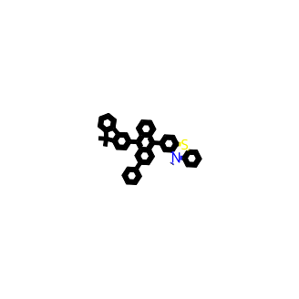 CN1c2ccccc2Sc2ccc(-c3c4ccccc4c(-c4ccc5c(c4)-c4ccccc4C5(C)C)c4cc(-c5ccccc5)ccc34)cc21